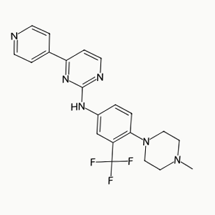 CN1CCN(c2ccc(Nc3nccc(-c4ccncc4)n3)cc2C(F)(F)F)CC1